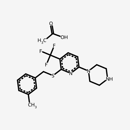 CC(=O)O.Cc1cccc(CSc2nc(N3CCNCC3)ccc2C(F)(F)F)c1